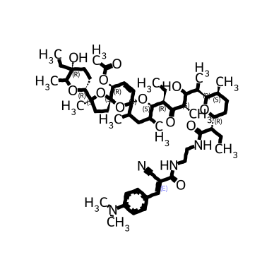 CCC(C(=O)NCCNC(=O)/C(C#N)=C/c1ccc(N(C)C)cc1)[C@H]1CC[C@H](C)[C@H](C(C)C(O)[C@H](C)C(=O)[C@H](CC)[C@H]2O[C@]3(C=C[C@@H](OC(C)=O)[C@]4(CC[C@@](C)([C@H]5CC[C@](O)(CC)C(C)O5)O4)O3)C(C)CC2C)O1